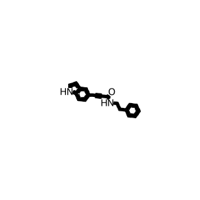 O=C(C#Cc1ccc2[nH]ccc2c1)NCCc1ccccc1